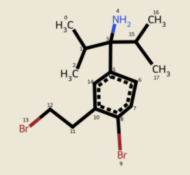 CC(C)C(N)(c1ccc(Br)c(CCBr)c1)C(C)C